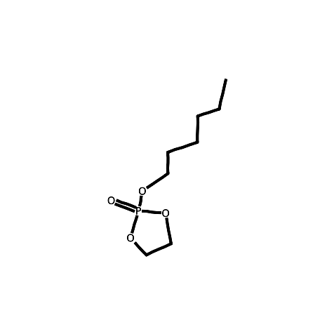 CCCCCCOP1(=O)OCCO1